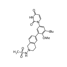 COc1c(-c2ccc3c(c2)CCN(NS(C)(=O)=O)C3)cc(-n2ccc(=O)[nH]c2=O)cc1C(C)(C)C